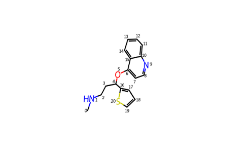 CNCCC(Oc1ccnc2ccccc12)c1cccs1